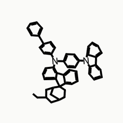 CCC1CC2CCC3(c4ccccc4-c4c(N(c5ccc(-c6ccccc6)cc5)c5ccc(-n6c7ccccc7c7ccccc76)cc5)cccc43)C(C1)C2